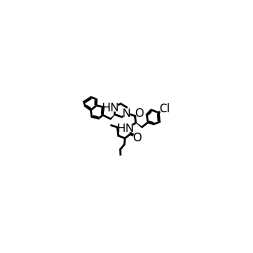 CCCC(CCC)C(=O)N[C@H](Cc1ccc(Cl)cc1)C(=O)N1CCN[C@H](Cc2ccc3ccccc3c2)C1